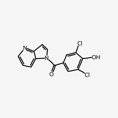 O=C(c1cc(Cl)c(O)c(Cl)c1)n1ccc2ncccc21